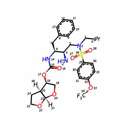 CC(C)CN(C[C@@H](N)[C@H](Cc1ccccc1)NC(=O)O[C@H]1CO[C@H]2OCC[C@H]21)S(=O)(=O)c1ccc(OC(F)(F)F)cc1